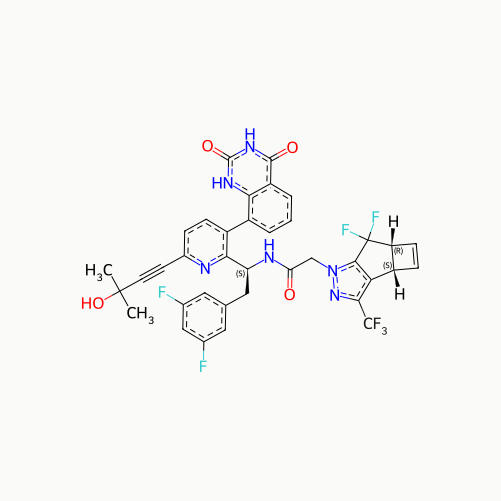 CC(C)(O)C#Cc1ccc(-c2cccc3c(=O)[nH]c(=O)[nH]c23)c([C@H](Cc2cc(F)cc(F)c2)NC(=O)Cn2nc(C(F)(F)F)c3c2C(F)(F)[C@@H]2C=C[C@H]32)n1